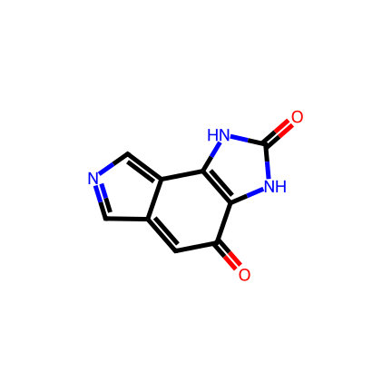 O=C1C=C2C=NC=C2c2[nH]c(=O)[nH]c21